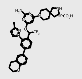 Cc1ccn(-c2cc(-c3ccc4c(c3)CCCO4)ccc2C(Oc2cc(N3CCC4(CC3)CN[C@H](C(=O)O)C4)nc(N)n2)C(F)(F)F)n1